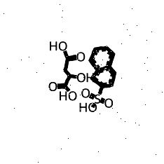 O=C(O)CC(O)C(=O)O.O=S(=O)(O)c1ccc2ccccc2c1